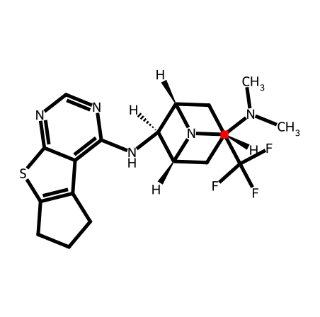 CN(C)[C@@H]1C[C@@H]2[C@@H](Nc3ncnc4sc5c(c34)CCC5)[C@H](C1)N2CC(F)(F)F